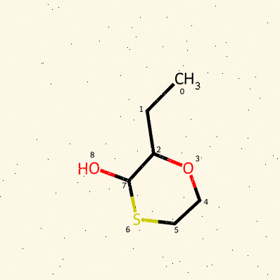 CCC1OCCSC1O